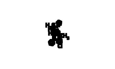 CC(CN1CCCC1)NC(=S)NC1N=C(c2ccccc2)c2cc(Cl)ccc2N(C)C1=O